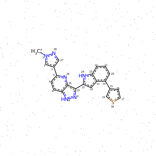 Cn1cc(-c2ccc3[nH]nc(-c4cc5c(-c6ccsc6)cccc5[nH]4)c3n2)cn1